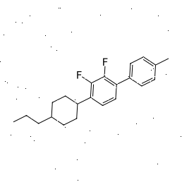 CCCC1CCC(c2ccc(-c3ccc(C)cc3)c(F)c2F)CC1